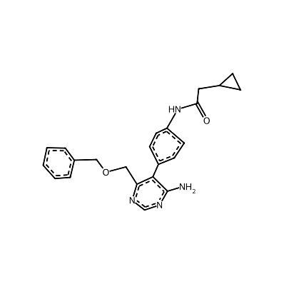 Nc1ncnc(COCc2ccccc2)c1-c1ccc(NC(=O)CC2CC2)cc1